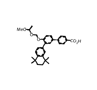 COC(C)OCOc1ccc(-c2ccc(C(=O)O)cc2)cc1-c1ccc2c(c1)C(C)(C)CCC2(C)C